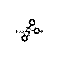 CN1c2ccccc2NC2C1N=C(c1ccccc1)N2c1ccc(Br)cc1